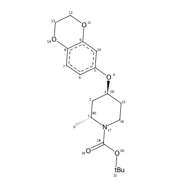 C[C@@H]1C[C@@H](Oc2ccc3c(c2)OCCO3)CCN1C(=O)OC(C)(C)C